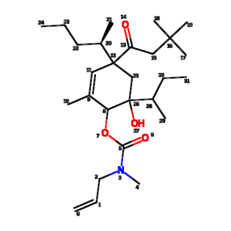 C=CCN(C)C(=O)OC1C(C)=CC(C(=O)CC(C)(C)C)([C@H](C)CCC)CC1(O)C(C)CC